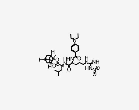 CCN(CC)c1ccc(C(=O)N[C@@H](CCCNC(=N)N[N+](=O)[O-])C(=O)N[C@@H](CC(C)C)B2O[C@@H]3C[C@@H]4C[C@@H](C4(C)C)[C@]3(C)O2)cc1